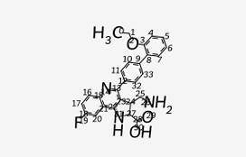 CCOc1ccccc1-c1ccc(-c2nc3ccc(F)cc3c3c2C(CN)C(C(=O)O)N3)cc1